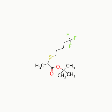 CC(SCCCCC(F)(F)F)C(=O)OC(C)(C)C